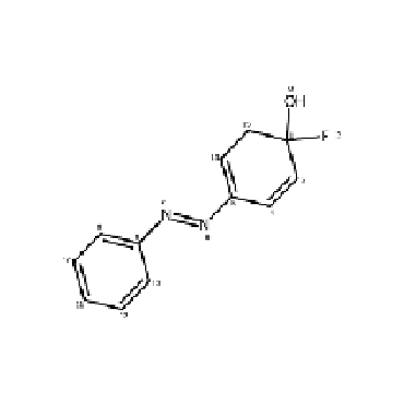 OC1(F)C=CC(N=Nc2ccccc2)=CC1